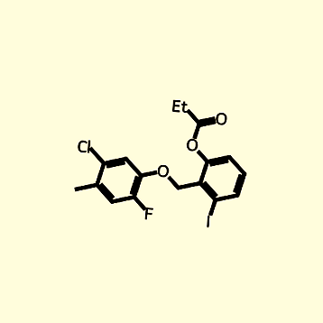 CCC(=O)Oc1cccc(I)c1COc1cc(Cl)c(C)cc1F